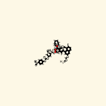 C#Cc1c(F)ccc2cc(OCOC)cc(-c3ncc4c(N5CC6CCC(C5)N6C(=O)OC(C)(C)C)nc(OC[C@@H]5C[C@@H](OC(=O)Oc6ccc([N+](=O)[O-])cc6)CN5C)nc4c3F)c12